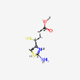 COC(=O)CCC(S)c1csc(N)n1